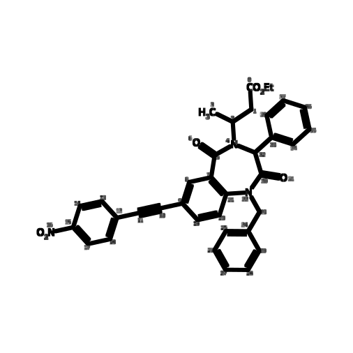 CCOC(=O)CC(C)N1C(=O)c2cc(C#Cc3ccc([N+](=O)[O-])cc3)ccc2N(Cc2ccccc2)C(=O)C1c1ccccc1